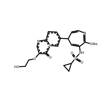 COC1=NC=CC(c2ccc3ncc(OCCO)c(=O)n3c2)C=C1NS(=O)(=O)C1CC1